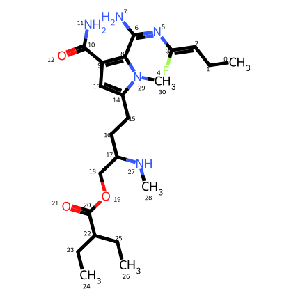 CC/C=C(F)/N=C(/N)c1c(C(N)=O)cc(CCC(COC(=O)C(CC)CC)NC)n1C